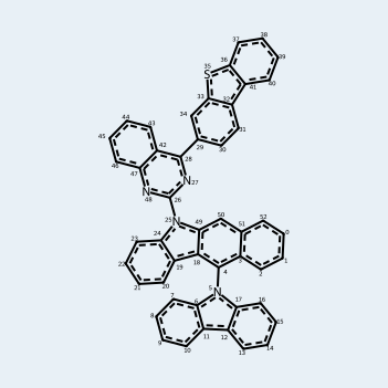 c1ccc2c(-n3c4ccccc4c4ccccc43)c3c4ccccc4n(-c4nc(-c5ccc6c(c5)sc5ccccc56)c5ccccc5n4)c3cc2c1